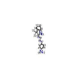 CN(C)c1ccc(/C=C/C=C/C2N(C)c3ccccc3C2(C)C)cc1